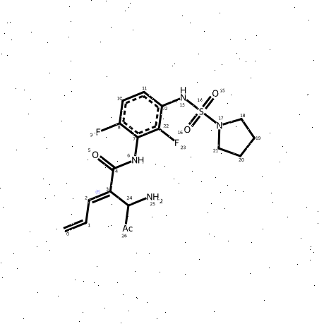 C=C/C=C(/C(=O)Nc1c(F)ccc(NS(=O)(=O)N2CCCC2)c1F)C(N)C(C)=O